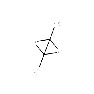 [CH2]CC12OC1(CC)O2